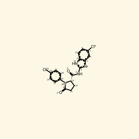 O=C(Nc1nc2cc(Cl)ccc2[nH]1)[C@@H]1CCC(=O)N1c1ccc(Cl)cc1